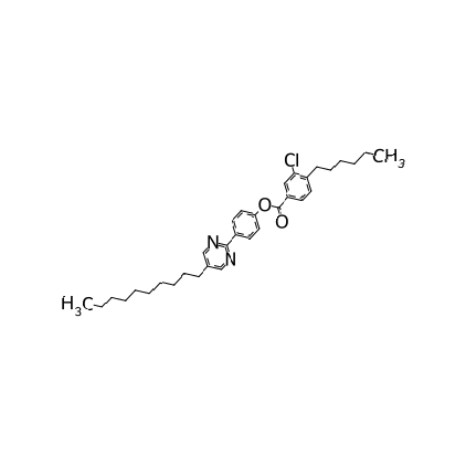 CCCCCCCCCCc1cnc(-c2ccc(OC(=O)c3ccc(CCCCCC)c(Cl)c3)cc2)nc1